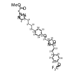 COC(=O)Cn1ncc(CCCCc2ccc(OCc3coc(C=Cc4ccc(OC(F)(F)F)cc4)n3)cc2)n1